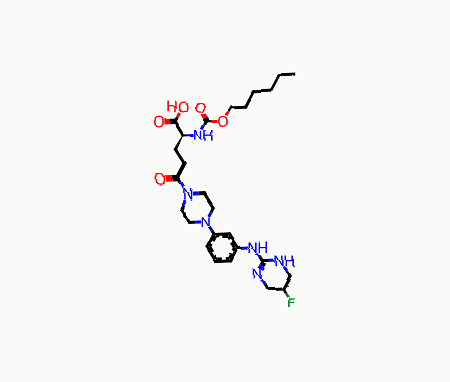 CCCCCCOC(=O)N[C@@H](CCC(=O)N1CCN(c2cccc(NC3=NCC(F)CN3)c2)CC1)C(=O)O